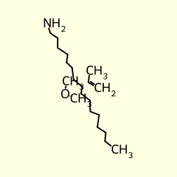 C=CC.CCCCCCCCCCCCCCCCN.COC